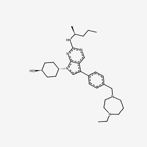 CCC[C@H](C)Nc1ncc2c(-c3ccc(CN4CCCN(CC)CC4)cc3)cn([C@H]3CC[C@H](O)CC3)c2n1